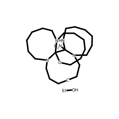 CCO.NC12NCCCCCCN1CCCCCCN1CCCCCCN3CCCCCCOC312